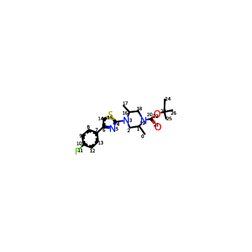 CC1CN(c2nc(-c3ccc(F)cc3)cs2)C(C)CN1C(=O)OC(C)(C)C